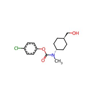 CN(C(=O)Oc1ccc(Cl)cc1)[C@H]1CC[C@H](CO)CC1